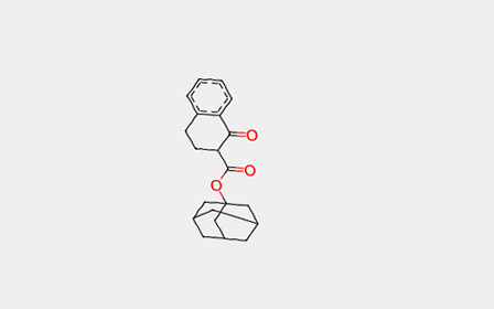 O=C(OC12CC3CC(CC(C3)C1)C2)C1CCc2ccccc2C1=O